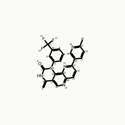 C=C1NC(=O)N(c2cccc(C(F)(F)F)c2)c2c1cnc1ccc(-c3ccc(C)nc3)nc21